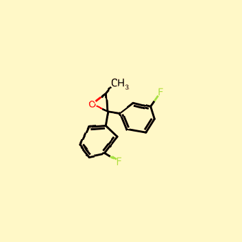 CC1OC1(c1cccc(F)c1)c1cccc(F)c1